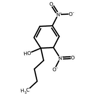 CCCCC1(O)C=CC([N+](=O)[O-])=CC1[N+](=O)[O-]